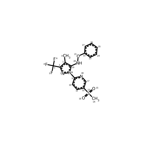 Cc1c(C(F)(F)F)nn(-c2ccc(S(C)(=O)=O)cn2)c1NOc1ccccc1